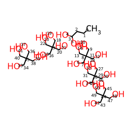 CCCC(O)O.OCC(CO)(CO)CO.OCC(CO)(CO)CO.OCC(CO)(CO)CO.OCC(CO)(CO)CO.OCC(CO)(CO)CO